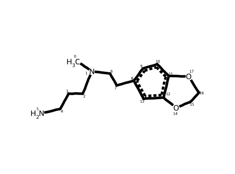 CN(CCCN)CCc1ccc2c(c1)OCCO2